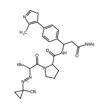 CNC(=O)CC(NC(=O)C1CCCN1C(=O)C(/N=N/C1(C#N)CC1)C(C)(C)C)c1ccc(-c2scnc2C)cc1